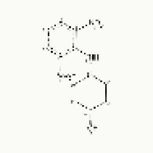 O=C(O)c1cccc([N+](=O)[O-])c1N[C@H]1CC[C@@H](O)CC1